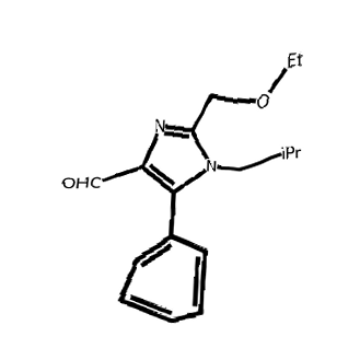 CCOCc1nc(C=O)c(-c2ccccc2)n1CC(C)C